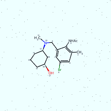 CC(=O)Nc1c(C)cc(Br)cc1CN(C)[C@@H]1CCC[C@H](O)C1